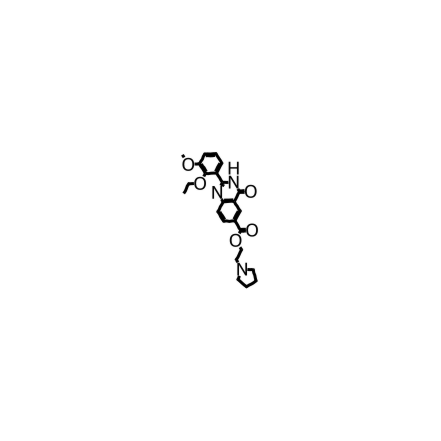 CCOc1c(OC)cccc1-c1nc2ccc(C(=O)OCCN3CCCC3)cc2c(=O)[nH]1